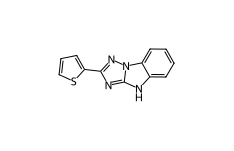 c1csc(-c2nc3[nH]c4ccccc4n3n2)c1